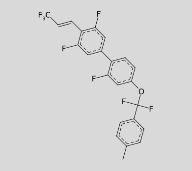 Cc1ccc(C(F)(F)Oc2ccc(-c3cc(F)c(/C=C/C(F)(F)F)c(F)c3)c(F)c2)cc1